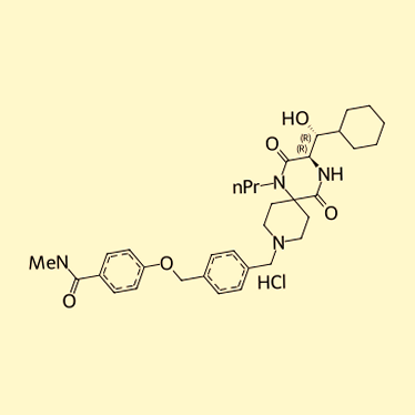 CCCN1C(=O)[C@@H]([C@H](O)C2CCCCC2)NC(=O)C12CCN(Cc1ccc(COc3ccc(C(=O)NC)cc3)cc1)CC2.Cl